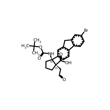 CC(C)(C)OC(=O)N[C@]1(c2ccc3c(c2)Cc2cc(Br)ccc2-3)CCC[C@@]1(CC=O)C(=O)O